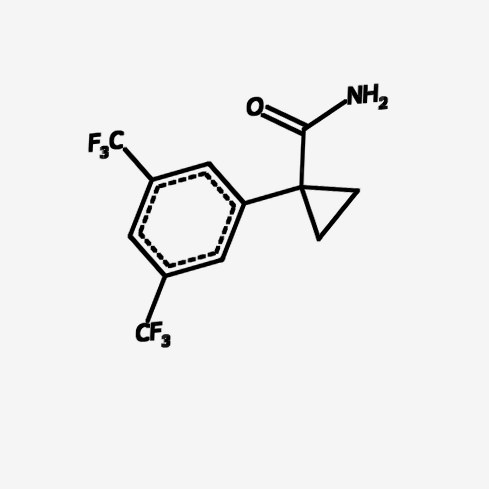 NC(=O)C1(c2cc(C(F)(F)F)cc(C(F)(F)F)c2)CC1